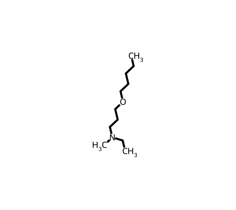 CCCCCOCCCN(C)CC